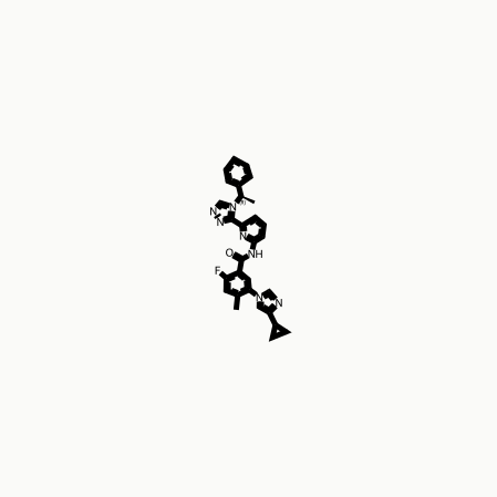 Cc1cc(F)c(C(=O)Nc2cccc(-c3nncn3[C@H](C)c3ccccc3)n2)cc1-n1cnc(C2CC2)c1